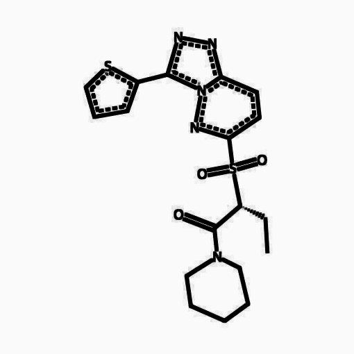 CC[C@H](C(=O)N1CCCCC1)S(=O)(=O)c1ccc2nnc(-c3cccs3)n2n1